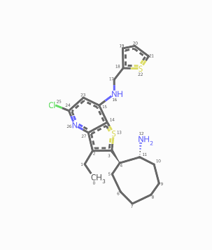 CCc1c([C@@H]2CCCCCC[C@H]2N)sc2c(NCc3cccs3)cc(Cl)nc12